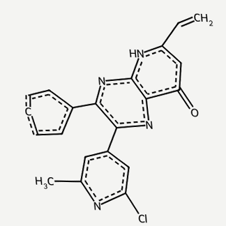 C=Cc1cc(=O)c2nc(-c3cc(C)nc(Cl)c3)c(-c3ccccc3)nc2[nH]1